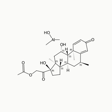 CC(=O)OCC(=O)[C@@]1(O)CC[C@H]2[C@@H]3C[C@H](C)C4=CC(=O)C=C[C@]4(C)[C@H]3[C@@H](O)C[C@@]21C.[CH3][Al]([CH3])[OH]